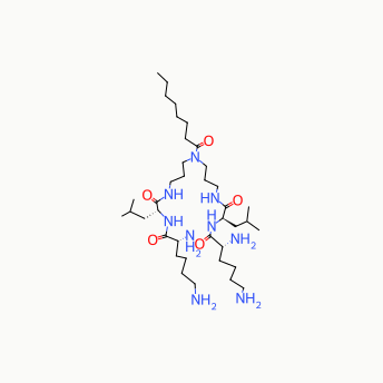 CCCCCCCC(=O)N(CCCNC(=O)[C@@H](CC(C)C)NC(=O)[C@H](N)CCCCN)CCCNC(=O)[C@@H](CC(C)C)NC(=O)[C@H](N)CCCCN